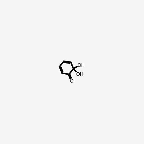 O=C1C=CC=CC1(O)O